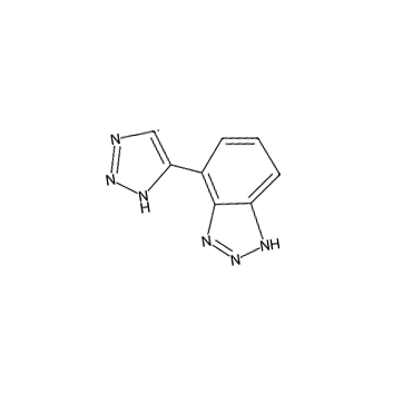 [c]1nn[nH]c1-c1cccc2[nH]nnc12